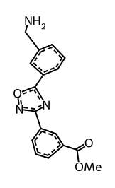 COC(=O)c1cccc(-c2noc(-c3cccc(CN)c3)n2)c1